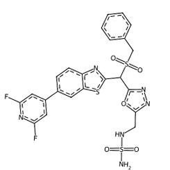 NS(=O)(=O)NCc1nnc(C(c2nc3ccc(-c4cc(F)nc(F)c4)cc3s2)S(=O)(=O)Cc2ccccc2)o1